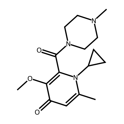 COc1c(C(=O)N2CCN(C)CC2)n(C2CC2)c(C)cc1=O